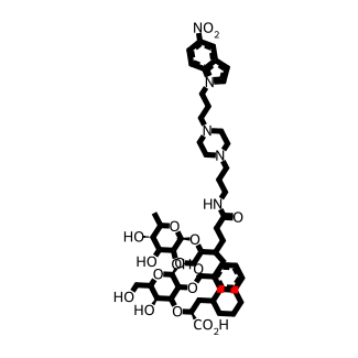 CC(CCC(=O)NCCCN1CCN(CCCn2ccc3cc([N+](=O)[O-])ccc32)CC1)C(CO[C@@H]1OC(CO)[C@H](O)C(O[C@@H](CC2CCCCC2)C(=O)O)C1OC(=O)c1ccccc1)O[C@@H]1OC(C)[C@@H](O)C(O)C1O